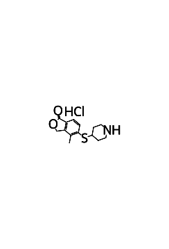 Cc1c(SC2CCNCC2)ccc2c1COC2=O.Cl